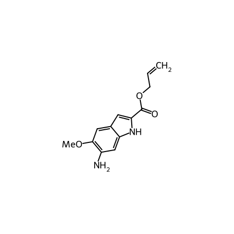 C=CCOC(=O)c1cc2cc(OC)c(N)cc2[nH]1